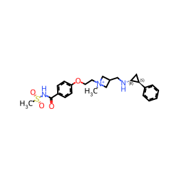 C[N+]1(CCOc2ccc(C(=O)NS(C)(=O)=O)cc2)CC(CN[C@@H]2C[C@H]2c2ccccc2)C1